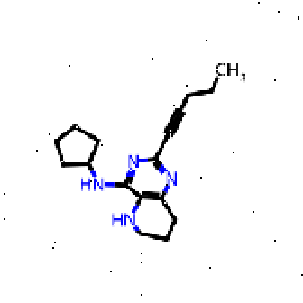 CCCC#Cc1nc2c(c(NC3CCCC3)n1)NCCC2